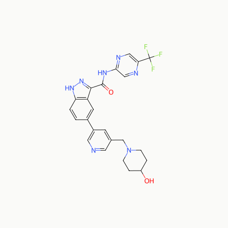 O=C(Nc1cnc(C(F)(F)F)cn1)c1n[nH]c2ccc(-c3cncc(CN4CCC(O)CC4)c3)cc12